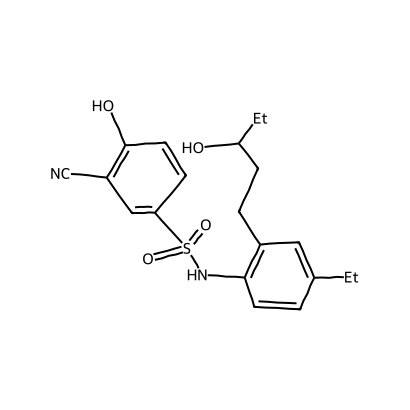 CCc1ccc(NS(=O)(=O)c2ccc(O)c(C#N)c2)c(CCC(O)CC)c1